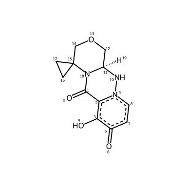 O=C1c2c(O)c(=O)ccn2N[C@@H]2COCC3(CC3)N12